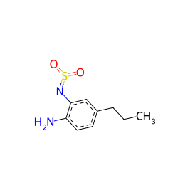 CCCc1ccc(N)c(N=S(=O)=O)c1